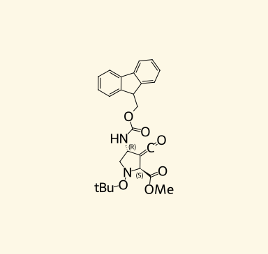 COC(=O)[C@@H]1C(=C=O)[C@@H](NC(=O)OCC2c3ccccc3-c3ccccc32)CN1OC(C)(C)C